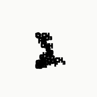 CC[SH]1(=O)C(=O)OCc2c1cc1n(c2=O)Cc2c-1nc1cc(F)c(C)c3c1c2[C@@H](NC(=O)COCNC(=O)CNC(=O)[C@@H](C)Cc1ccccc1)CC3